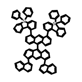 c1ccc([Si]2(c3ccccc3)c3ccccc3-c3c(-c4cccc5c(-c6c7cccc(-c8cccc9ccccc89)c7cc7c(-c8cccc9ccccc89)cccc67)c6cccc(-c7cccc8c7-c7ccccc7[Si]8(c7ccccc7)c7ccccc7)c6cc45)cccc32)cc1